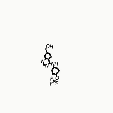 OCc1ccc2c(Nc3ccc(OC(F)(F)F)cc3)ncnc2c1